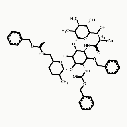 CCCC[C@H](C)C(=O)N[C@@H]1C(OCc2ccccc2)[C@H](NC(=O)OCc2ccccc2)C(O[C@H]2OC(CNC(=O)OCc3ccccc3)CCC2C)C(O)[C@H]1O[C@H]1OC(CO)[C@@H](O)[C@H](C)C1C